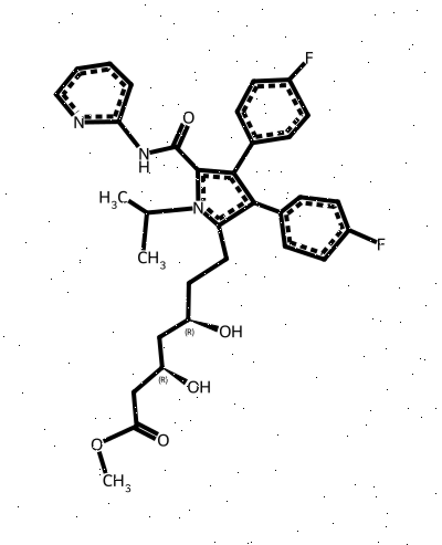 COC(=O)C[C@H](O)C[C@H](O)CCc1c(-c2ccc(F)cc2)c(-c2ccc(F)cc2)c(C(=O)Nc2ccccn2)n1C(C)C